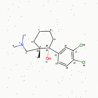 CN(C)C[C@]1(C)CCCC[C@@]1(O)c1ccc(Cl)c(Cl)c1